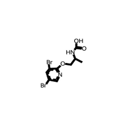 CC(COc1ncc(Br)cc1Br)NC(=O)O